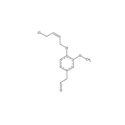 COc1cc(CC=O)ccc1OC/C=C\CCl